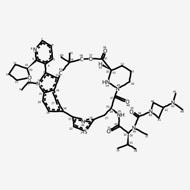 CCn1c(-c2cccnc2[C@@H]2CCCO2)c2c3cc(ccc31)-c1csc(n1)C[C@H](NC(=O)[C@H](C(C)C)N(C)C(=O)N1CC(N(C)C)C1)C(=O)N1CCC[C@H](N1)C(=O)OCC(C)(C)C2